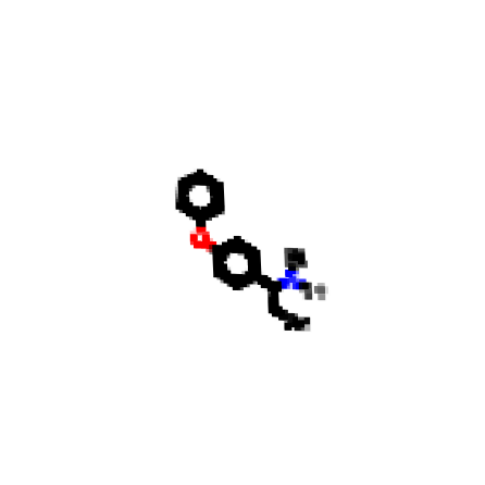 CCN(CC)C(CC(C)=O)c1ccc(Oc2ccccc2)cc1